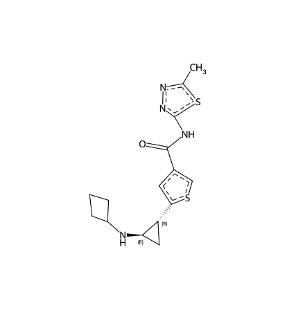 Cc1nnc(NC(=O)c2csc([C@@H]3C[C@H]3NC3CCC3)c2)s1